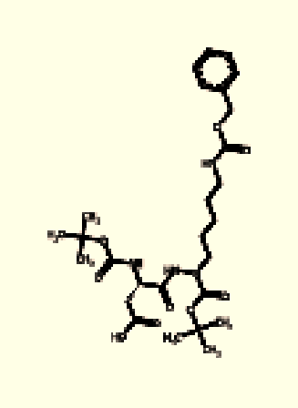 CC(C)(C)OC(=O)N[C@@H](CC(=O)O)C(=O)NN(CCCCCNC(=O)OCc1ccccc1)C(=O)OC(C)(C)C